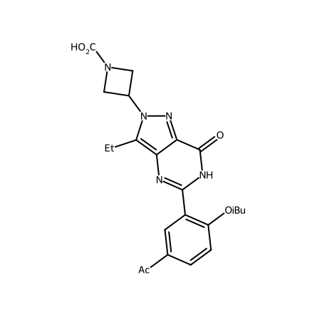 CCc1c2nc(-c3cc(C(C)=O)ccc3OCC(C)C)[nH]c(=O)c2nn1C1CN(C(=O)O)C1